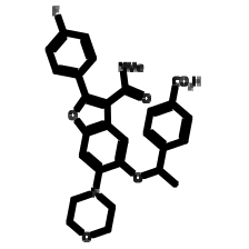 CNC(=O)c1c(-c2ccc(F)cc2)oc2cc(N3CCOCC3)c(OC(C)c3ccc(C(=O)O)cc3)cc12